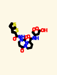 O=CC(CC(=O)O)NC(=O)C1CCCN2C(=O)CCN(NC(=O)c3cc4ccsc4s3)C(=O)N12